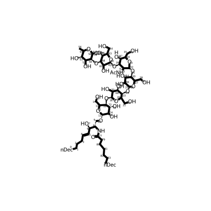 CCCCCCCCCCCCC/C=C/[C@@H](O)[C@H](CO[C@@H]1OC(CO)[C@@H](O[C@@H]2OC(CO)[C@H](O[C@@H]3OC(CO)[C@H](O[C@@H]4OC(CO)[C@H](O)[C@H](O[C@@H]5OC(CO)[C@H](O)[C@H](O[C@H]6C(O)[C@H](O)C(C)O[C@H]6O)C5O)C4NC(C)=O)[C@H](O)C3O)[C@H](O)C2O)[C@H](O)C1O)NC(=O)CCCCCCCCCCCCCCC